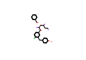 CCOc1ccc(Cc2cc(C3OC(CI)C(I)C(OC(=O)c4ccccc4)C3I)ccc2Cl)cc1